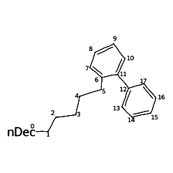 CCCCCCCCCCCCCCCc1ccccc1-c1ccccc1